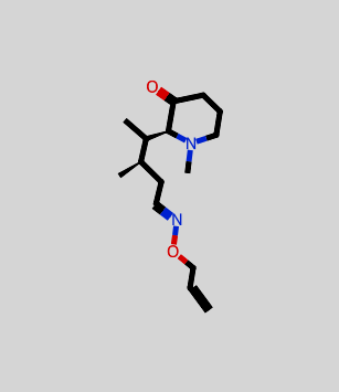 C=CCO/N=C/C[C@@H](C)C(C)[C@H]1C(=O)CCCN1C